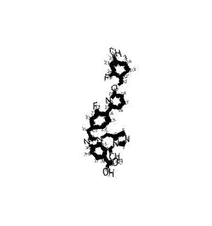 CCn1cncc1Cn1c(Cc2ccc(-c3cccc(OCc4ccc(C)cc4F)n3)c(F)c2)nc2ccc(C(=O)O)cc21